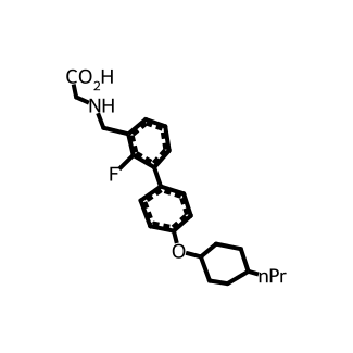 CCCC1CCC(Oc2ccc(-c3cccc(CNCC(=O)O)c3F)cc2)CC1